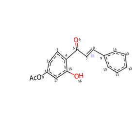 CC(=O)Oc1ccc(C(=O)/C=C/c2ccccc2)c(O)c1